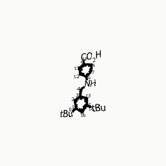 CC(C)(C)c1cc(CNc2ccc(C(=O)O)cc2)cc(C(C)(C)C)c1